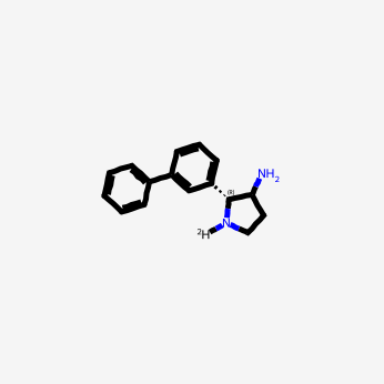 [2H]N1CCC(N)[C@H]1c1cccc(-c2ccccc2)c1